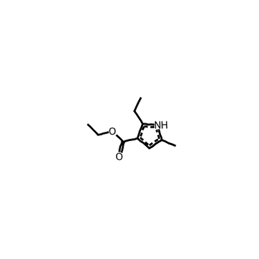 CCOC(=O)c1cc(C)[nH]c1CC